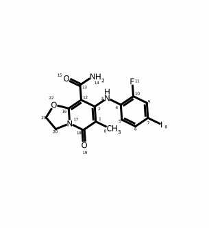 Cc1c(Nc2ccc(I)cc2F)c(C(N)=O)c2n(c1=O)CCO2